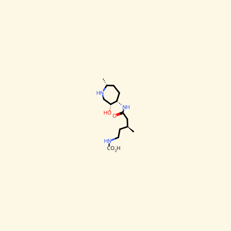 C[C@@H](CCNC(=O)O)CC(=O)N[C@H]1CC[C@@H](C)NC[C@H]1O